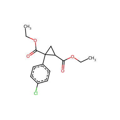 CCOC(=O)C1CC1(C(=O)OCC)c1ccc(Cl)cc1